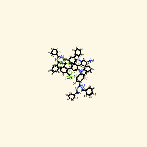 N#Cc1ccc(-c2ccc(-c3c(C(F)(F)F)cccc3C(F)(F)F)cc2-n2c3ccccc3c3cc(-c4nc(-c5ccccc5)nc(-c5ccccc5)n4)ccc32)c(-n2c3ccccc3c3cc(-c4nc(-c5ccccc5)nc(-c5ccccc5)n4)ccc32)c1